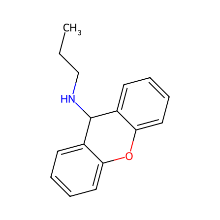 CCCNC1c2ccccc2Oc2ccccc21